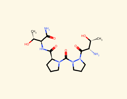 C[C@@H](O)[C@H](N)C(=O)N1CCCN1C(=O)N1CCC[C@H]1C(=O)N[C@H](C(N)=O)[C@@H](C)O